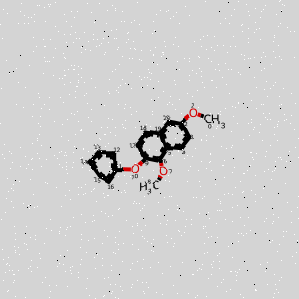 COc1ccc2c(OC)c(Oc3ccccc3)ccc2c1